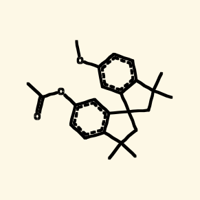 COc1ccc2c(c1)C1(CC2(C)C)CC(C)(C)c2ccc(OC(C)=O)cc21